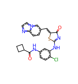 O=C1N=C(Nc2cc(NC(=O)C3CCC3)ccc2Cl)S/C1=C\c1ccc2nccn2c1